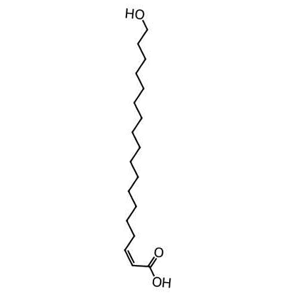 O=C(O)/C=C\CCCCCCCCCCCCCCCO